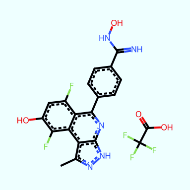 Cc1n[nH]c2nc(-c3ccc(C(=N)NO)cc3)c3c(F)cc(O)c(F)c3c12.O=C(O)C(F)(F)F